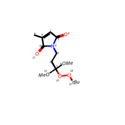 COC(CCN1C(=O)C=C(C)C1=O)(OC)OOC(C)(C)C